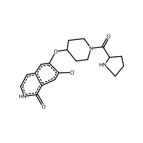 O=C(C1CCCN1)N1CCC(Oc2cc3cc[nH]c(=O)c3cc2Cl)CC1